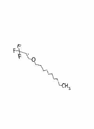 CCCCCCCCCCOC[CH]C(F)(F)F